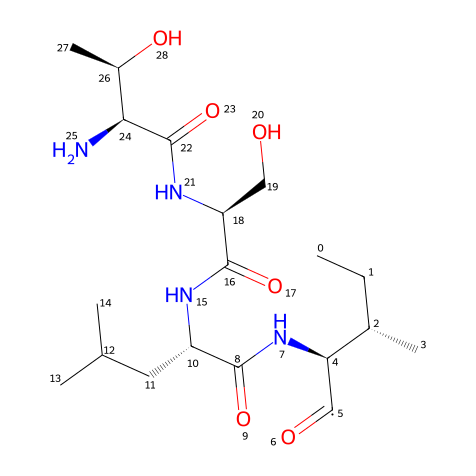 CC[C@H](C)[C@@H]([C]=O)NC(=O)[C@H](CC(C)C)NC(=O)[C@H](CO)NC(=O)[C@@H](N)[C@@H](C)O